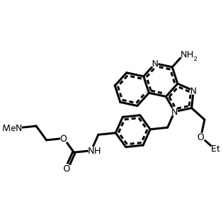 CCOCc1nc2c(N)nc3ccccc3c2n1Cc1ccc(CNC(=O)OCCNC)cc1